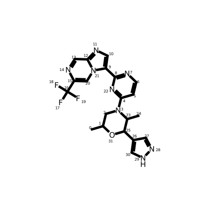 CC1CN(c2ccnc(-c3cnc4cnc(C(F)(F)F)cn34)n2)C(C)C(c2cn[nH]c2)O1